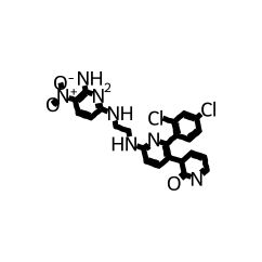 Nc1nc(NCCNc2ccc(C3C=CC=NC3=O)c(-c3ccc(Cl)cc3Cl)n2)ccc1[N+](=O)[O-]